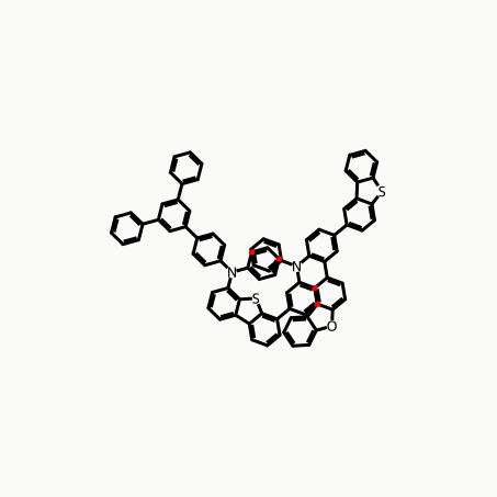 c1ccc(-c2cc(-c3ccccc3)cc(-c3ccc(N(c4ccccc4)c4cccc5c4sc4c(-c6cccc(N(c7ccccc7)c7ccc(-c8ccc9sc%10ccccc%10c9c8)cc7-c7ccc8oc9ccccc9c8c7)c6)cccc45)cc3)c2)cc1